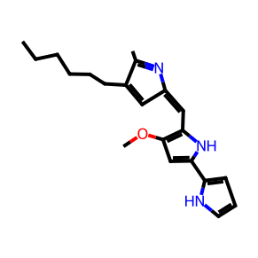 CCCCCCC1=CC(=Cc2[nH]c(-c3ccc[nH]3)cc2OC)N=C1C